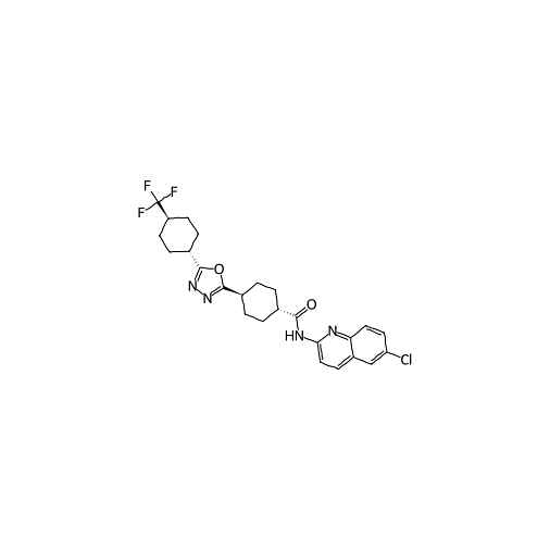 O=C(Nc1ccc2cc(Cl)ccc2n1)[C@H]1CC[C@H](c2nnc([C@H]3CC[C@H](C(F)(F)F)CC3)o2)CC1